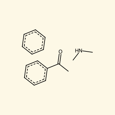 CC(=O)c1ccccc1.CNC.c1ccccc1